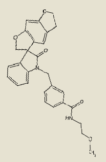 COCCNC(=O)c1cccc(CN2C(=O)C3(COc4cc5c(cc43)CCO5)c3ccccc32)c1